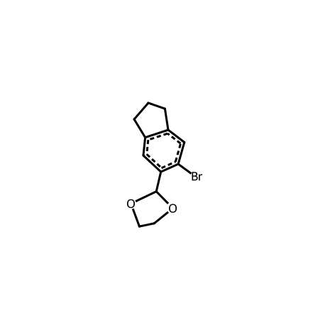 Brc1cc2c(cc1C1OCCO1)CCC2